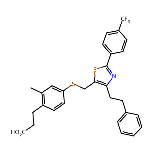 Cc1cc(SCc2sc(-c3ccc(C(F)(F)F)cc3)nc2CCc2ccccc2)ccc1CCC(=O)O